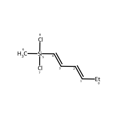 CCC=CC=C[Si](C)(Cl)Cl